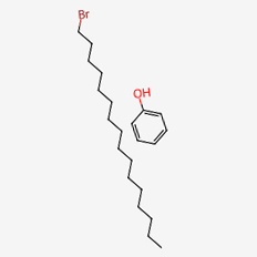 CCCCCCCCCCCCCCCCBr.Oc1ccccc1